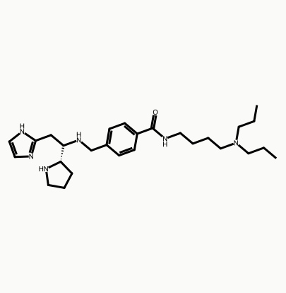 CCCN(CCC)CCCCNC(=O)c1ccc(CNC(Cc2ncc[nH]2)[C@@H]2CCCN2)cc1